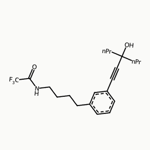 CCCC(O)(C#Cc1cccc(CCCCNC(=O)C(F)(F)F)c1)CCC